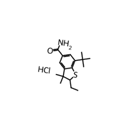 CCC1Sc2c(C(C)(C)C)cc(C(N)=O)cc2C1(C)C.Cl